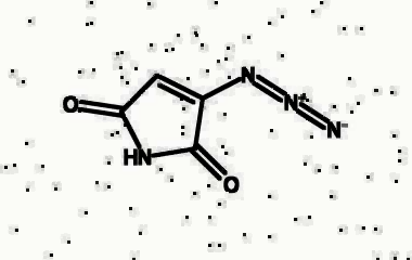 [N-]=[N+]=NC1=CC(=O)NC1=O